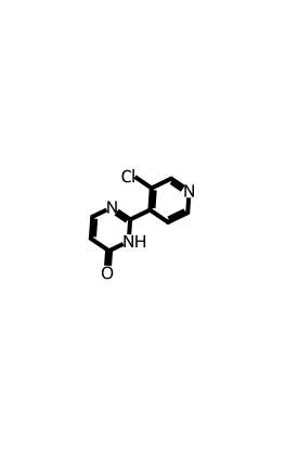 O=c1ccnc(-c2ccncc2Cl)[nH]1